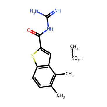 CS(=O)(=O)O.Cc1ccc2sc(C(=O)NC(=N)N)cc2c1C